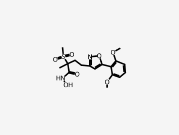 COc1cccc(OC)c1-c1cc(CCC(C)(C(=O)NO)S(C)(=O)=O)no1